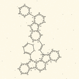 C1=CCCC(n2c3ccccc3c3ccc4c5ccccc5n(C=Cc5ccc6sc7c(-c8ccccc8)cccc7c6c5)c4c32)=C1